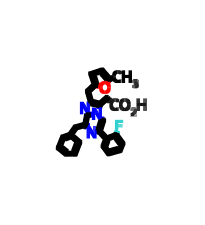 Cc1ccc(Cc2nc3c(Cc4ccccc4)nc(-c4ccccc4F)cn3c2CC(=O)O)o1